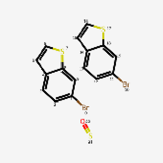 Brc1ccc2ccsc2c1.Brc1ccc2ccsc2c1.O=S